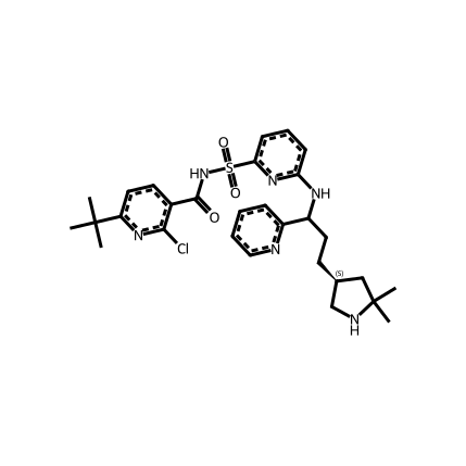 CC1(C)C[C@H](CCC(Nc2cccc(S(=O)(=O)NC(=O)c3ccc(C(C)(C)C)nc3Cl)n2)c2ccccn2)CN1